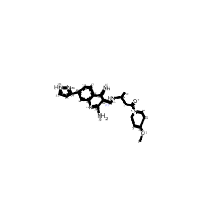 COC1CCN(C(=O)CC(C)N/C=C2\C(=N)c3ccc(-c4cc[nH]n4)cc3N=C2N)CC1